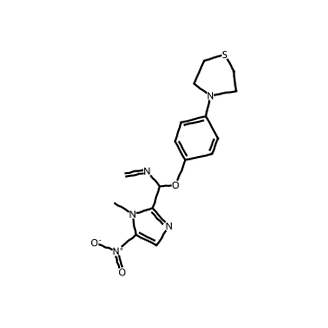 C=NC(Oc1ccc(N2CCSCC2)cc1)c1ncc([N+](=O)[O-])n1C